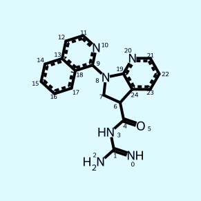 N=C(N)NC(=O)C1CN(c2nccc3ccccc23)c2ncccc21